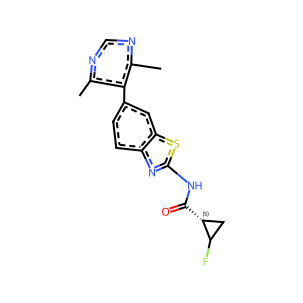 Cc1ncnc(C)c1-c1ccc2nc(NC(=O)[C@@H]3CC3F)sc2c1